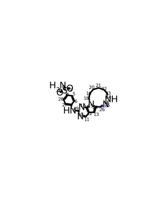 NS(=O)(=O)c1ccc(Nc2ncc3cc4n(c3n2)CCCCCCN/N=C\4)cc1